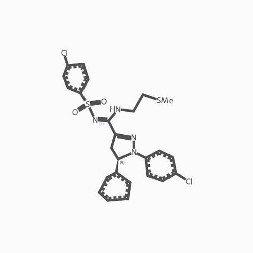 CSCCN/C(=N\S(=O)(=O)c1ccc(Cl)cc1)C1=NN(c2ccc(Cl)cc2)[C@@H](c2ccccc2)C1